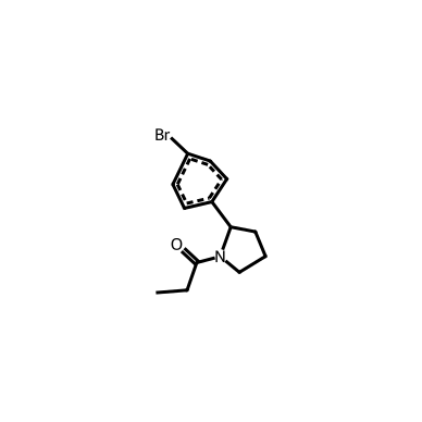 CCC(=O)N1CCCC1c1ccc(Br)cc1